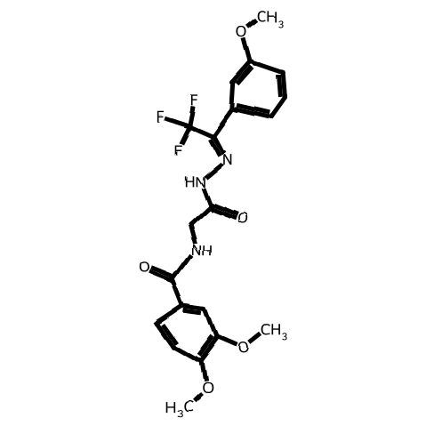 COc1cccc(/C(=N/NC(=O)CNC(=O)c2ccc(OC)c(OC)c2)C(F)(F)F)c1